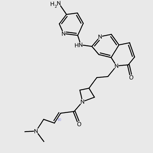 CN(C)C/C=C/C(=O)N1CC(CCn2c(=O)ccc3cnc(Nc4ccc(N)cn4)cc32)C1